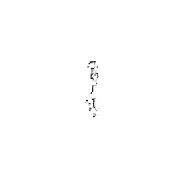 O=C1C2C3CS(=O)(=O)CC3C2C(=O)N1CCCCN1CCN(c2ncccn2)CC1